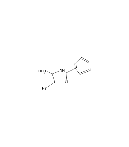 O=C(O)C(CS)NC(Cl)c1ccccc1